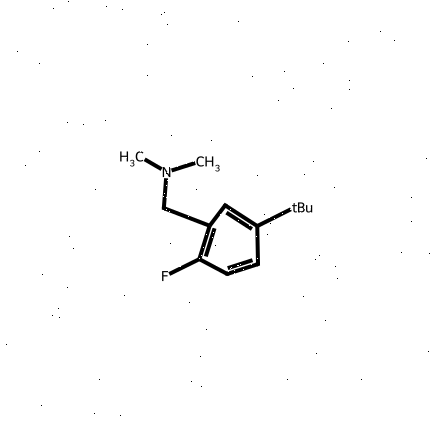 CN(C)Cc1cc(C(C)(C)C)ccc1F